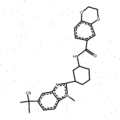 Cn1c(C2CCCC(NC(=O)c3ccc4c(c3)OCCO4)C2)nc2cc(C(C)(C)C#N)ccc21